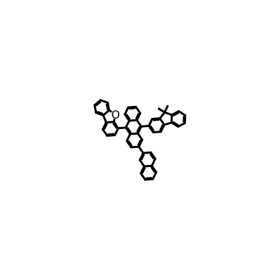 CC1(C)c2ccccc2-c2ccc(-c3c4ccccc4c(-c4cccc5c4oc4ccccc45)c4ccc(-c5ccc6ccccc6c5)cc34)cc21